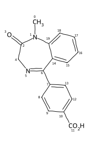 CN1C(=O)CN=C(c2ccc(C(=O)O)cc2)c2ccccc21